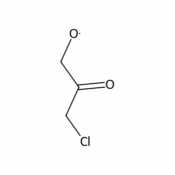 [O]CC(=O)CCl